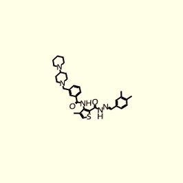 Cc1ccc(C=NNC(=O)c2scc(C)c2NC(=O)c2cccc(CN3CCC(N4CCCCC4)CC3)c2)cc1C